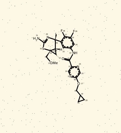 COC[C@]12C[C@H]1[C@@](C)(c1cc(NC(=O)c3cnc(OCC4CC4)cn3)cc(F)c1F)N=C(N)S2